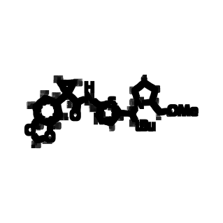 COCC1CCCN1C(c1cnc(NC(=O)C2(c3ccc4c(c3)OCO4)CC2)s1)C(C)(C)C